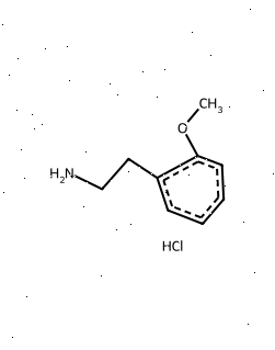 COc1ccccc1CCN.Cl